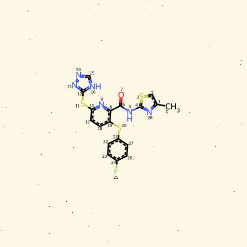 Cc1csc(NC(=O)c2nc(Sc3nnc[nH]3)ccc2Sc2ccc(F)cc2)n1